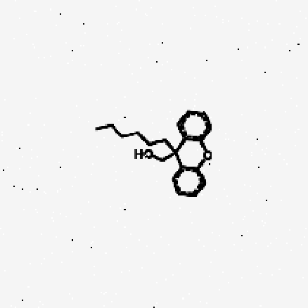 CCCCCCC1(CO)c2ccccc2Oc2ccccc21